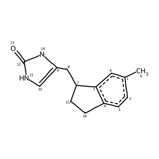 Cc1ccc2c(c1)C(CC1=CNC(=O)[N]1)CC2